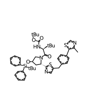 Cc1ncsc1-c1ccc(Cc2cnc([C@@H]3C[C@@H](O[Si](c4ccccc4)(c4ccccc4)C(C)(C)C)CN3C(=O)[C@@H](NC(=O)OC(C)(C)C)C(C)(C)C)s2)cc1